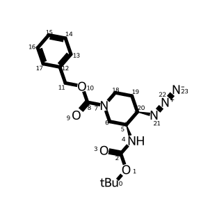 CC(C)(C)OC(=O)N[C@H]1CN(C(=O)OCc2ccccc2)CC[C@H]1N=[N+]=[N-]